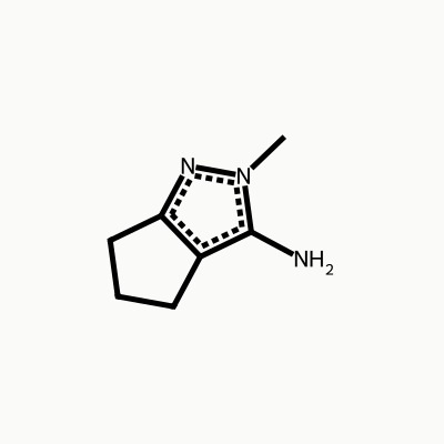 Cn1nc2c(c1N)CCC2